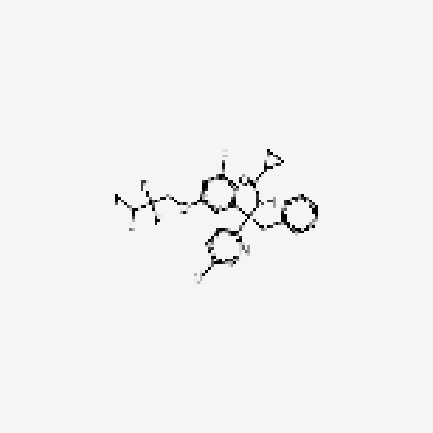 O=C(N[C@@](Cc1ccccc1)(c1cc(F)cc(OCC(F)(F)C(F)F)c1)c1ccc(Cl)cn1)C1CC1